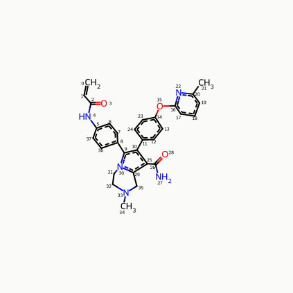 C=CC(=O)Nc1ccc(-c2c(-c3ccc(Oc4cccc(C)n4)cc3)c(C(N)=O)c3n2CCN(C)C3)cc1